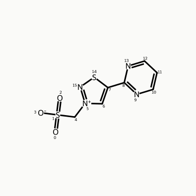 O=S(=O)([O-])C[n+]1cc(-c2ncccn2)sn1